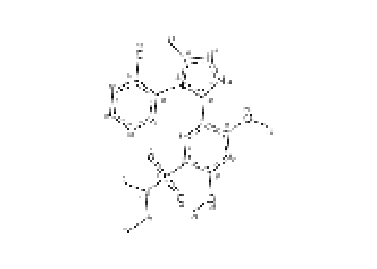 CCN(C)S(=O)(=O)c1cc(-c2nnc(C)n2-c2ccccc2Cl)c(OC)cc1OC